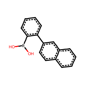 OB(O)c1ccccc1-c1ccc2ccccc2c1